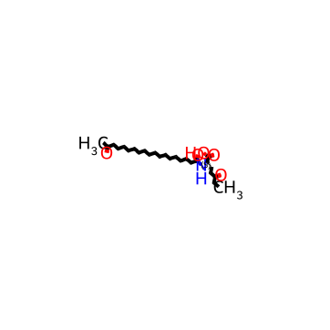 CCC(=O)CC[C@H](NC(=O)CCCCCCCCCCCCCCCCC(C)=O)C(=O)O